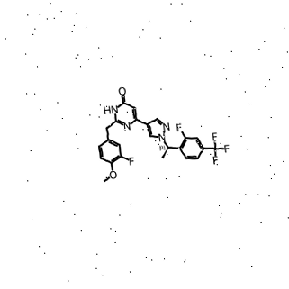 COc1ccc(Cc2nc(-c3cnn([C@H](C)c4ccc(C(F)(F)F)cc4F)c3)cc(=O)[nH]2)cc1F